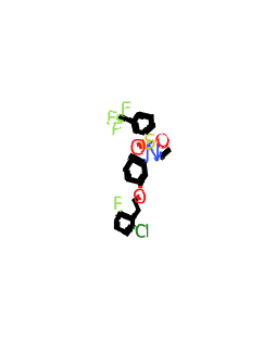 CCN(c1cccc(OCCc2c(F)cccc2Cl)c1)S(=O)(=O)c1cccc(C(F)(F)F)c1